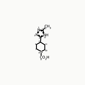 Cc1nnc(C2CCN(C(=O)O)CC2)[nH]1